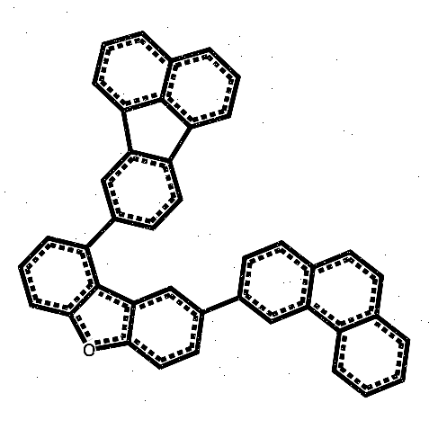 c1cc2c3c(cccc3c1)-c1cc(-c3cccc4oc5ccc(-c6ccc7ccc8ccccc8c7c6)cc5c34)ccc1-2